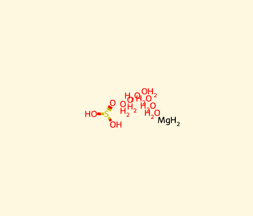 O.O.O.O.O.O.O.O=S(O)O.[MgH2]